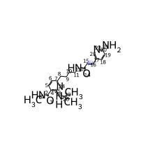 CNC(=O)c1ccc(CCCCNC(=O)/C=C/c2ccc(N)nc2)nc1NC(C)C